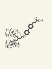 CC(C)(C)[Si](C)(C)OCC(CCOc1ccc(-c2ccc(/C=C/C(=O)O)cc2)cc1)CO[Si](C)(C)C(C)(C)C